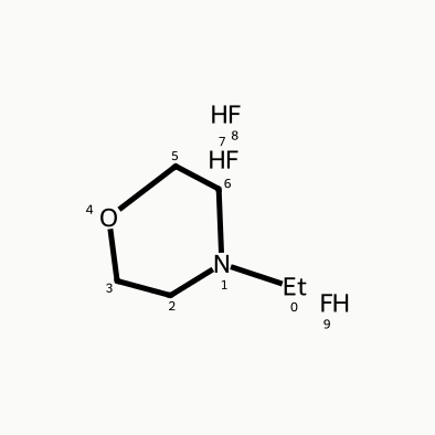 CCN1CCOCC1.F.F.F